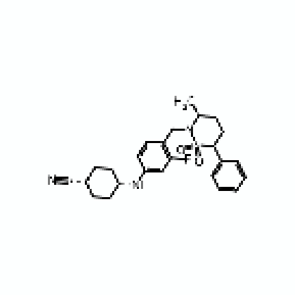 C[C@H]1CCC(c2ccccc2)S(=O)(=O)N1Cc1ccc(N[C@H]2CC[C@@H](C#N)CC2)cc1F